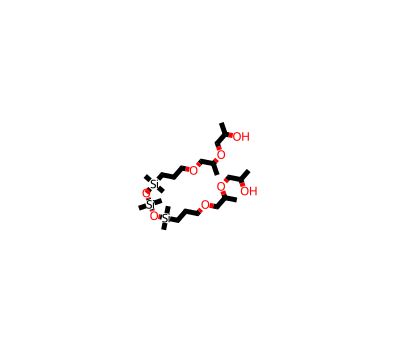 CC(O)COC(C)COCCC[Si](C)(C)O[Si](C)(C)O[Si](C)(C)CCCOCC(C)OCC(C)O